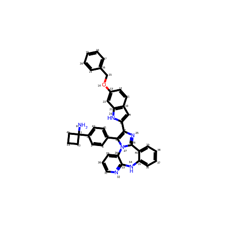 NC1(c2ccc(-c3c(-c4cc5ccc(OCc6ccccc6)cc5[nH]4)nc4n3-c3cccnc3Nc3ccccc3-4)cc2)CCC1